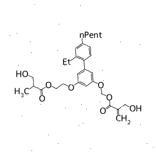 C=C(CO)C(=O)OCOc1cc(OCCOC(=O)C(C)CO)cc(-c2ccc(CCCCC)cc2CC)c1